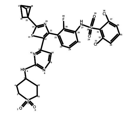 O=S1(=O)CCC(Nc2nccc(-c3sc(C45CC(C4)C5)nc3-c3cccc(NS(=O)(=O)c4c(Cl)cccc4Cl)c3F)n2)CC1